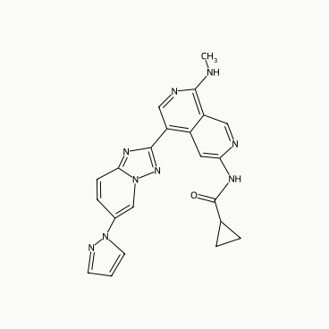 CNc1ncc(-c2nc3ccc(-n4cccn4)cn3n2)c2cc(NC(=O)C3CC3)ncc12